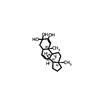 C[C@@]12CCC[C@H]1[C@@H]1C=CC3CC(O)(O)C(O)=C[C@]3(C)[C@@]1(F)CC2